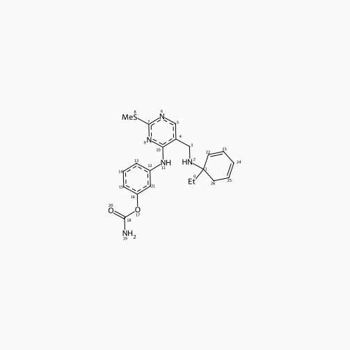 CCC1(NCc2cnc(SC)nc2Nc2cccc(OC(N)=O)c2)C=CC=CC1